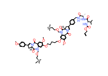 C=CCOC(=O)N[C@H](C(=O)N[C@@H](C)C(=O)NCc1ccc(C2=CN3C(=O)c4cc(OC)c(OCCCCCOc5cc6c(cc5OC)C(=O)N5C=C(c7ccc(OC)cc7)C[C@H]5C(=O)N6COCC[Si](C)(C)C)cc4N(COCC[Si](C)(C)C)C(=O)[C@@H]3C2)cc1)C(C)C